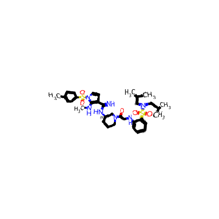 CNc1c(C(=N)N[C@@H]2CCCN(C(=O)CNc3ccccc3S(=O)(=O)N(CC(C)C)CC(C)C)C2)ccn1S(=O)(=O)c1ccc(C)cc1